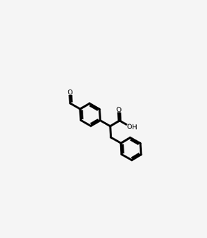 O=Cc1ccc(C(Cc2ccccc2)C(=O)O)cc1